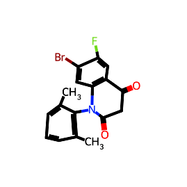 Cc1cccc(C)c1N1C(=O)CC(=O)c2cc(F)c(Br)cc21